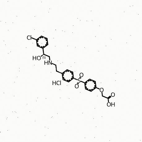 Cl.O=C(O)COc1ccc(S(=O)(=O)c2ccc(CCNC[C@@H](O)c3cccc(Cl)c3)cc2)cc1